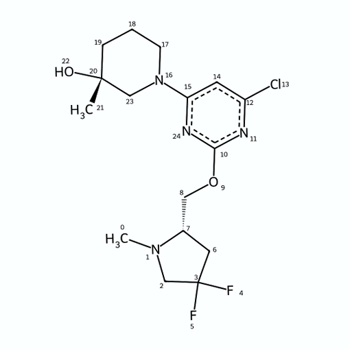 CN1CC(F)(F)C[C@H]1COc1nc(Cl)cc(N2CCC[C@@](C)(O)C2)n1